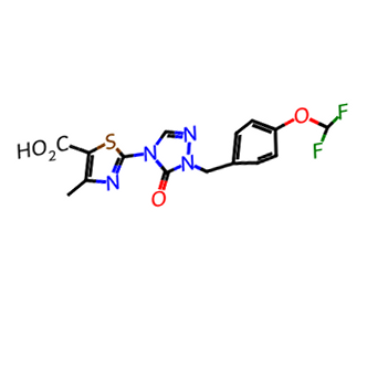 Cc1nc(-n2cnn(Cc3ccc(OC(F)F)cc3)c2=O)sc1C(=O)O